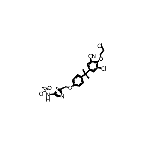 CC(C)(c1ccc(OCc2ncc(NS(C)(=O)=O)s2)cc1)c1cc(Cl)c(OCCCl)c(C#N)c1